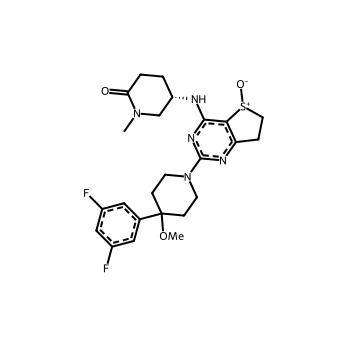 COC1(c2cc(F)cc(F)c2)CCN(c2nc3c(c(N[C@H]4CCC(=O)N(C)C4)n2)[S+]([O-])CC3)CC1